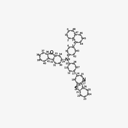 c1ccc2c(-c3ccc(N(c4ccc(-c5cnc6c(c5)sc5ccccc56)cc4)c4ccc5c(c4)oc4ccccc45)cc3)cccc2c1